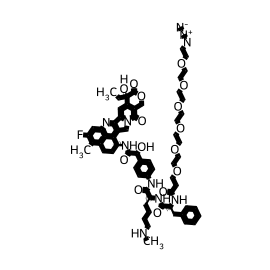 CC[C@@]1(O)C(=O)OCc2c1cc1n(c2=O)Cc2c-1nc1cc(F)c(C)c3c1c2[C@@H](NC(=O)C(O)c1ccc(NC(=O)[C@H](CCCCNC)NC(=O)[C@H](Cc2ccccc2)NC(=O)CCOCCOCCOCCOCCOCCOCCN=[N+]=[N-])cc1)CC3